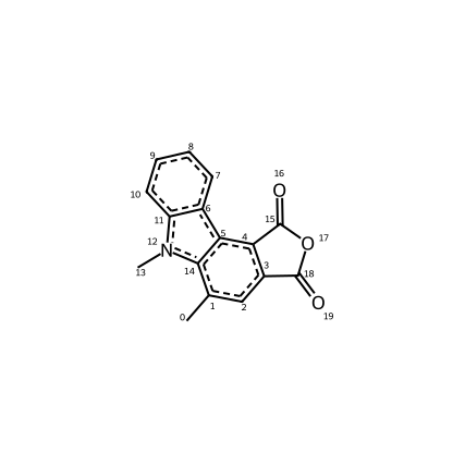 Cc1cc2c(c3c4ccccc4n(C)c13)C(=O)OC2=O